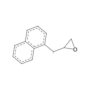 [CH](c1cccc2ccccc12)C1CO1